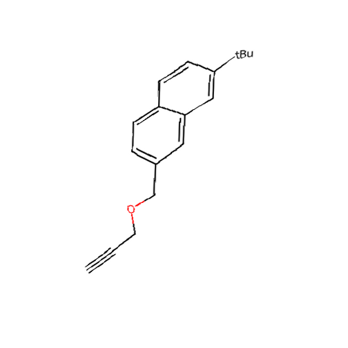 C#CCOCc1ccc2ccc(C(C)(C)C)cc2c1